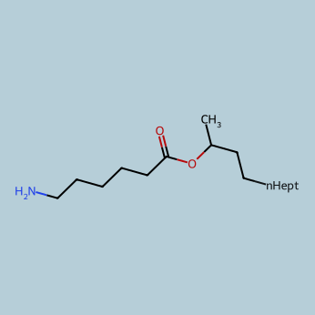 CCCCCCCCCC(C)OC(=O)CCCCCN